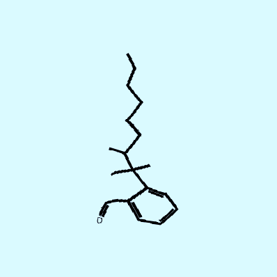 CCCCCCC(C)C(C)(C)c1ccccc1C=O